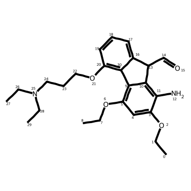 CCOc1cc(OCC)c2c(c1N)C(C=O)c1cccc(OCCCN(CC)CC)c1-2